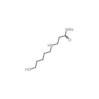 CNC(=O)CCNCCCCCO